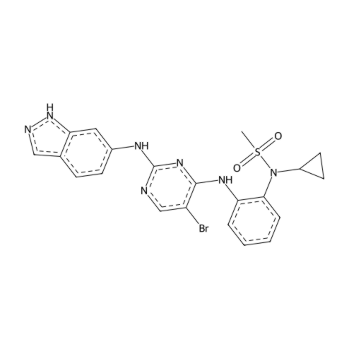 CS(=O)(=O)N(c1ccccc1Nc1nc(Nc2ccc3cn[nH]c3c2)ncc1Br)C1CC1